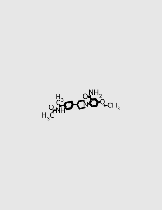 CCOc1ccc(N2CCC(c3ccc(C(C)NC(C)=O)cc3)CC2)c(C(N)=O)c1